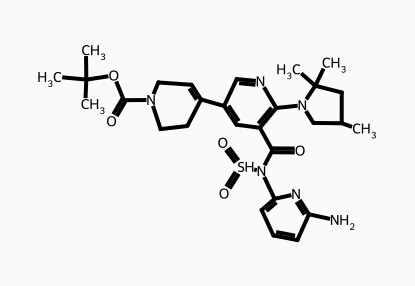 CC1CN(c2ncc(C3=CCN(C(=O)OC(C)(C)C)CC3)cc2C(=O)N(c2cccc(N)n2)[SH](=O)=O)C(C)(C)C1